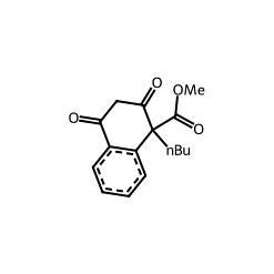 CCCCC1(C(=O)OC)C(=O)CC(=O)c2ccccc21